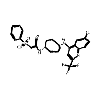 O=C(CS(=O)(=O)c1ccccc1)N[C@H]1CC[C@@H](Nc2cc(C(F)(F)F)nc3ccc(Cl)cc23)CC1